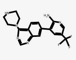 Nc1ncc(C(F)(F)F)cc1-c1ccc2c(N3CCNCC3)ncnc2c1